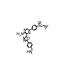 CNCc1ccc(-c2nnc(-c3nc(-c4ccc([S+]([O-])CCN(C)C)cc4)cnc3N)o2)cc1